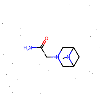 CN1C2CC1CN(CC(N)=O)C2